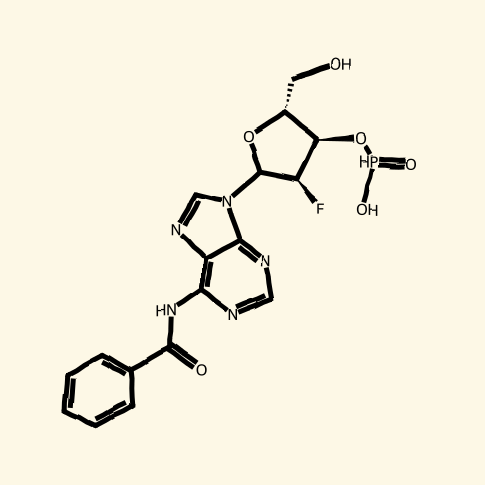 O=C(Nc1ncnc2c1ncn2C1O[C@H](CO)[C@@H](O[PH](=O)O)[C@H]1F)c1ccccc1